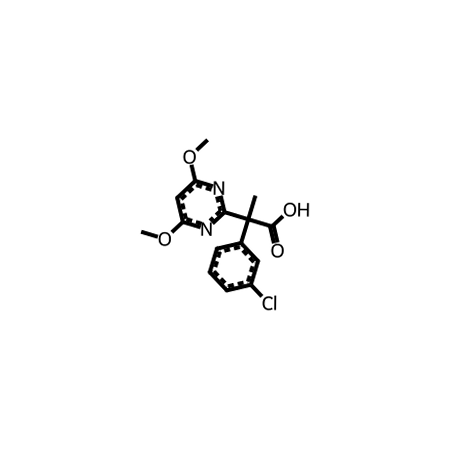 COc1cc(OC)nc(C(C)(C(=O)O)c2cccc(Cl)c2)n1